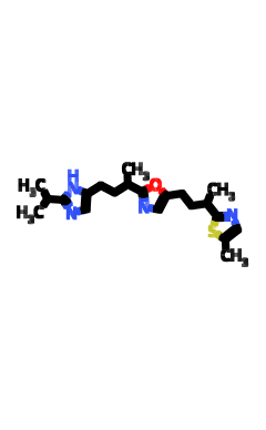 Cc1cnc(C(C)CCc2cnc(C(C)CCc3cnc(C(C)C)[nH]3)o2)s1